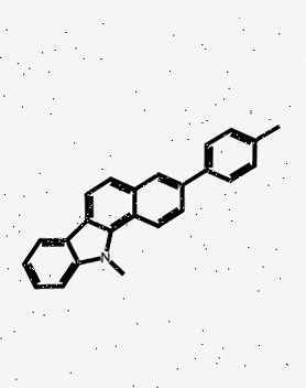 Cc1ccc(-c2ccc3c(ccc4c5ccccc5n(C)c34)c2)cc1